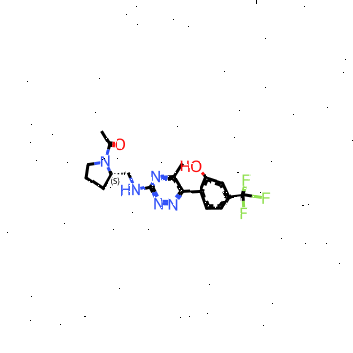 CC(=O)N1CCC[C@H]1CNc1nnc(-c2ccc(C(F)(F)F)cc2O)c(C)n1